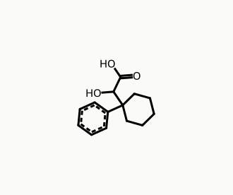 O=C(O)C(O)C1(c2ccccc2)CCCCC1